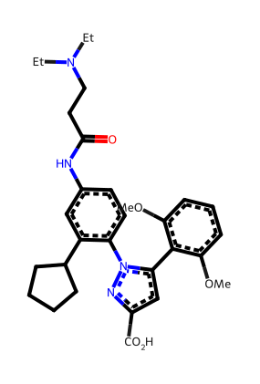 CCN(CC)CCC(=O)Nc1ccc(-n2nc(C(=O)O)cc2-c2c(OC)cccc2OC)c(C2CCCC2)c1